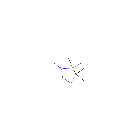 CN1CCC(C)(C)C1(C)C